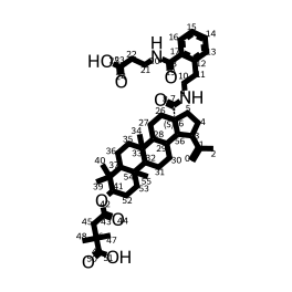 C=C(C)C1CC[C@]2(C(=O)NCCc3ccccc3C(=O)NCCC(=O)O)CCC3C(CCC4C3(C)CCC3C(C)(C)C(OC(=O)CC(C)(C)C(=O)O)CCC34C)C12